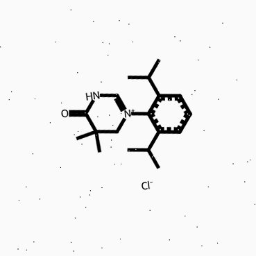 CC(C)c1cccc(C(C)C)c1[N+]1=CNC(=O)C(C)(C)C1.[Cl-]